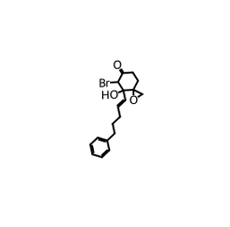 O=C1CCC2(CO2)C(O)(C=CCCCc2ccccc2)C1Br